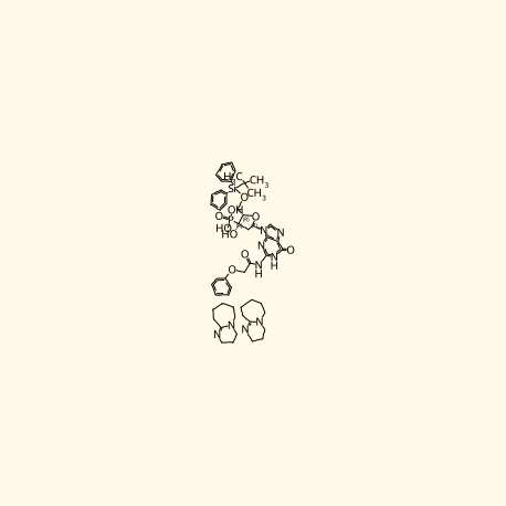 C1CCC2=NCCCN2CC1.C1CCC2=NCCCN2CC1.CC(C)(C)[Si](OC[C@H]1O[C@@H](n2cnc3c(=O)[nH]c(NC(=O)COc4ccccc4)nc32)C[C@@]1(O)P(=O)(O)O)(c1ccccc1)c1ccccc1